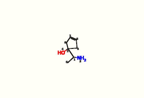 CC(N)C1(O)CC=CC1